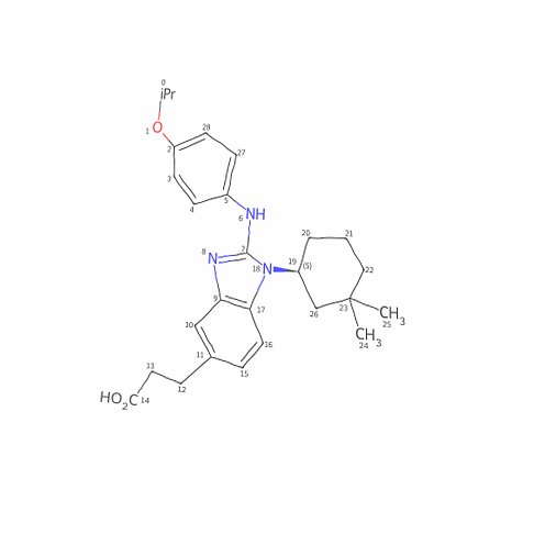 CC(C)Oc1ccc(Nc2nc3cc(CCC(=O)O)ccc3n2[C@H]2CCCC(C)(C)C2)cc1